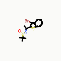 CC(=N[S+]([O-])C(C)(C)C)c1sc2ccccc2c1Br